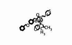 CC(C)C[C@@H](C(=O)N[C@@H](Cc1ccc(OCc2ccccc2)cc1)C(=O)NCCN1CCSCC1)N1CCOCC1